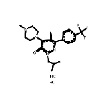 Cc1c(-c2ccc(C(F)(F)F)cc2)nn(CC(C)C)c(=O)c1N1CCN(C)CC1.Cl.Cl